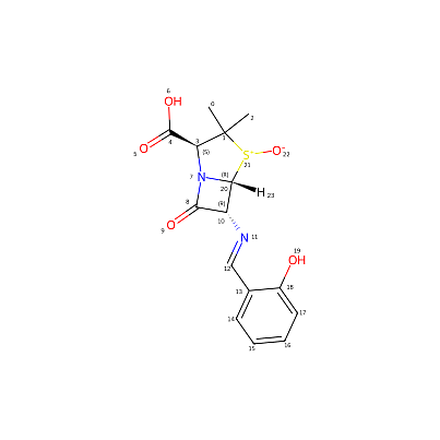 CC1(C)[C@H](C(=O)O)N2C(=O)[C@@H](N=Cc3ccccc3O)[C@H]2[S+]1[O-]